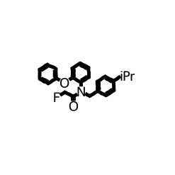 CC(C)c1ccc(CN(C(=O)CF)c2ccccc2Oc2ccccc2)cc1